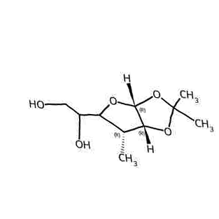 C[C@@H]1C(C(O)CO)O[C@@H]2OC(C)(C)O[C@@H]21